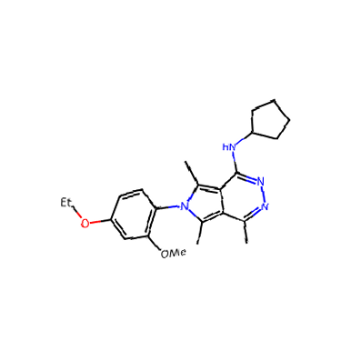 CCOc1ccc(-n2c(C)c3c(C)nnc(NC4CCCC4)c3c2C)c(OC)c1